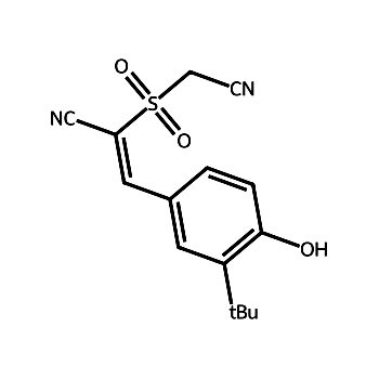 CC(C)(C)c1cc(C=C(C#N)S(=O)(=O)CC#N)ccc1O